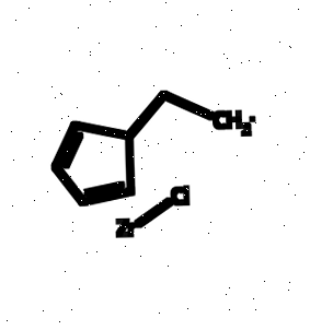 [CH2]CC1C=CC=C1.[Cl][Zr]